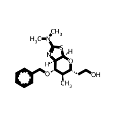 C[C@H]1[C@H](OCc2ccccc2)[C@H]2N=C(N(C)C)S[C@H]2O[C@@H]1CCO